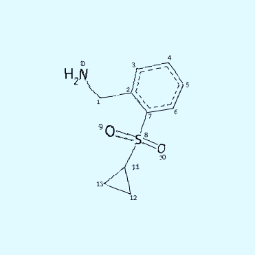 NCc1ccccc1S(=O)(=O)C1CC1